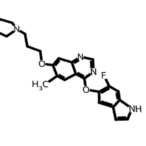 Cc1cc2c(Oc3cc4cc[nH]c4cc3F)ncnc2cc1OCCCN1CCCC1